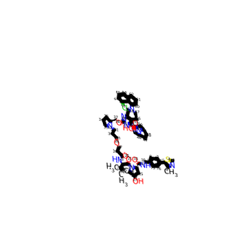 Cc1ncsc1-c1ccc(CNC(=O)[C@@H]2C[C@@H](O)CN2C(=O)[C@@H](NC(=O)CCOCCCN2CCC[C@H]2COc2nc3c(c(N4CC5CCC(C4)N5C(=O)O)n2)CCN(c2cccc4cccc(Cl)c24)C3)C(C)(C)C)cc1